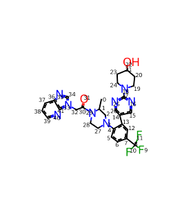 CC1CN(c2ccc(C(F)(F)F)cc2-c2cnc(N3CCC(O)CC3)nc2)CCN1C(=O)Cn1cnc2cccnc21